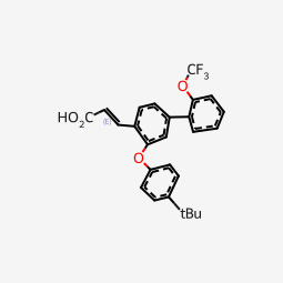 CC(C)(C)c1ccc(Oc2cc(-c3ccccc3OC(F)(F)F)ccc2/C=C/C(=O)O)cc1